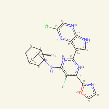 Fc1c(N[C@@H]2CC3CCC2CC3)nc(-c2c[nH]c3ncc(Cl)nc23)nc1-c1ncco1